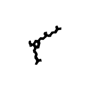 COc1cc(C=CC(=O)OCC=C(C)C)ccc1OCC=C(C)C